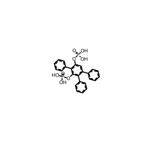 O=P(O)(O)Oc1cc(-c2ccccc2)c(-c2ccccc2)c(OP(=O)(O)O)c1-c1ccccc1